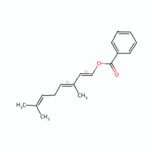 CC(C)=CC/C=C(C)/C=C/OC(=O)c1ccccc1